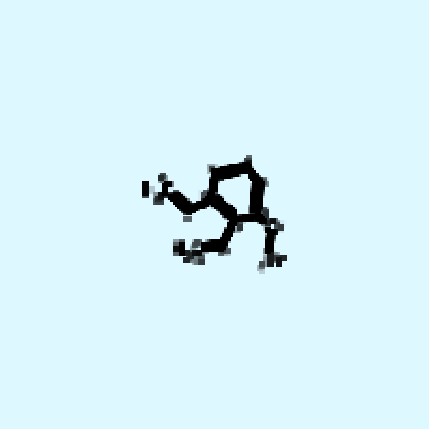 C=[C]c1cccc(OC(C)C)c1C=C